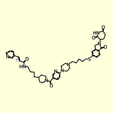 O=C(/C=C/c1cccnc1)NCCCCC1CCN(C(=O)c2ccc(N3CCN(CCCCCSc4ccc5c(c4)CN(C4CCC(=O)NC4=O)C5=O)CC3)nc2)CC1